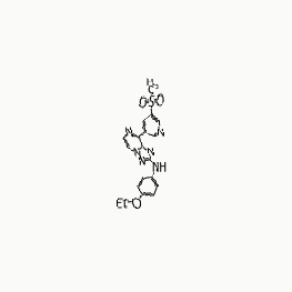 CCOc1ccc(Nc2nc3c(-c4cncc(S(C)(=O)=O)c4)nccn3n2)cc1